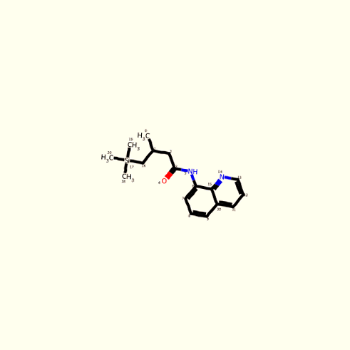 CC(CC(=O)Nc1cccc2cccnc12)C[Si](C)(C)C